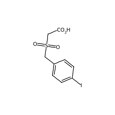 O=C(O)CS(=O)(=O)Cc1ccc(I)cc1